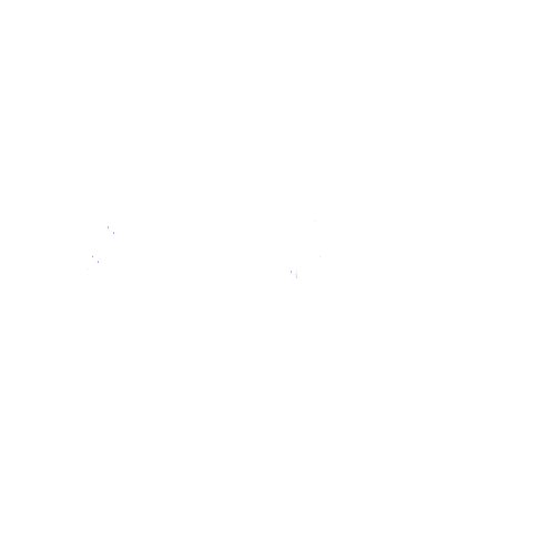 NNS(=O)(=O)c1ccc2c(c1)CC(=O)N2C(=O)c1ccc(O)cc1